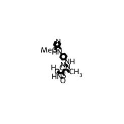 C=N\C(=N/C(=C\C)/C=C1\SC(=O)NC1=O)N[C@H]1CC[C@H](NCc2cnccc2OC)CC1